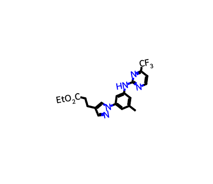 CCOC(=O)CCc1cnn(-c2cc(C)cc(Nc3nccc(C(F)(F)F)n3)c2)c1